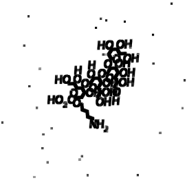 C[C@@H]1C(O)[C@H](O)C(CO)O[C@@H]1OC1C(O)[C@H](O)[C@H]([C@@H](O)CO)O[C@@H]1O[C@@H]1C(O)[C@@H](O[C@@H]2C(O)C[C@](OCCCCCN)(C(=O)O)OC2[C@H](O)CO)OC([C@@H](O)CO)[C@H]1O